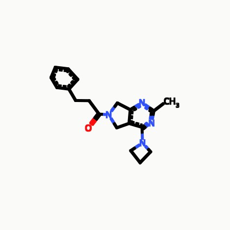 Cc1nc2c(c(N3CCC3)n1)CN(C(=O)CCc1ccccc1)C2